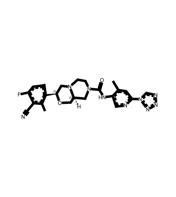 Cc1cc(-n2cnnn2)ncc1NC(=O)N1CCN2C[C@H](c3ccc(F)c(C#N)c3C)OC[C@@H]2C1